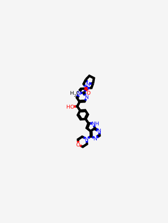 C=CC(=O)N1C2CCC1CN(c1ncc(C(O)c3ccc(-c4cc5c(N6CCOCC6)ncnc5[nH]4)cc3)cn1)C2